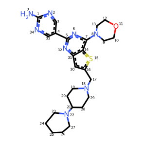 Nc1ncc(-c2nc(N3CCOCC3)c3sc(CN4CCC(N5CCCCC5)CC4)cc3n2)cn1